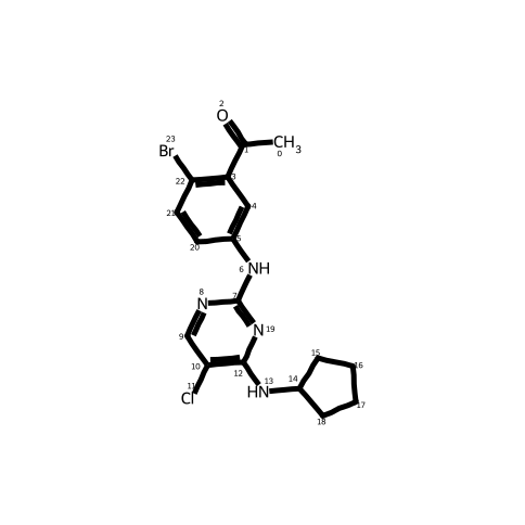 CC(=O)c1cc(Nc2ncc(Cl)c(NC3CCCC3)n2)ccc1Br